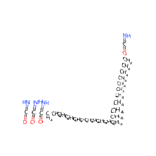 C.C.C.C.C.C.C.C.C.C.C.C.C.C.C.C.C.C.C.C.C.N=C=O.N=C=O.N=C=O.N=C=O